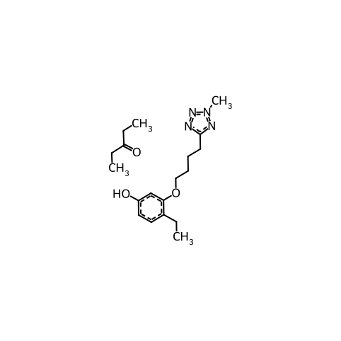 CCC(=O)CC.CCc1ccc(O)cc1OCCCCc1nnn(C)n1